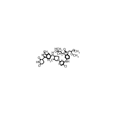 COC(Cn1c(=O)n(CCC(C)(C)O)c2cc(Nc3nc(N4CC[C@@H](Nc5ccc6c(C7CCC(=O)NC7=O)nn(C)c6c5)[C@H](C)C4)ncc3Cl)ccc21)OC